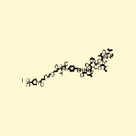 CC[C@H](C)[C@@H]([C@@H](CC(=O)N1CCC[C@H]1[C@H](OC)[C@@H](C)C(=O)N[C@@H](CC(C)C)C(=O)NOCc1ccc(NC(=O)[C@@H](C)NC(=O)CCOCCOCCC(=O)N2CCC(C(=O)O)CC2)cc1)OC)N(C)C(=O)[C@@H](NC(=O)[C@H](C(C)C)N(C)C)C(C)C